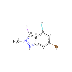 Cn1nc2cc(Br)cc(F)c2c1I